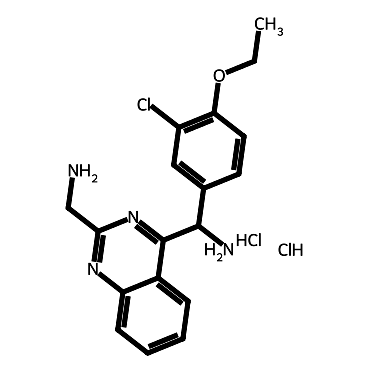 CCOc1ccc(C(N)c2nc(CN)nc3ccccc23)cc1Cl.Cl.Cl